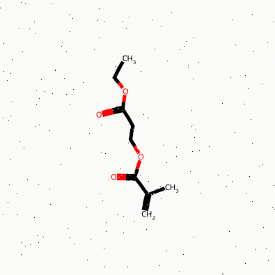 C=C(C)C(=O)OCCC(=O)OCC